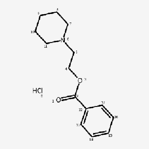 Cl.O=C(OCCN1CCCCC1)c1ccccc1